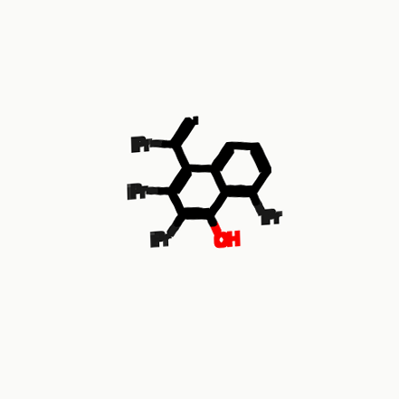 [C]=C(c1c(C(C)C)c(C(C)C)c(O)c2c(C(C)C)cccc12)C(C)C